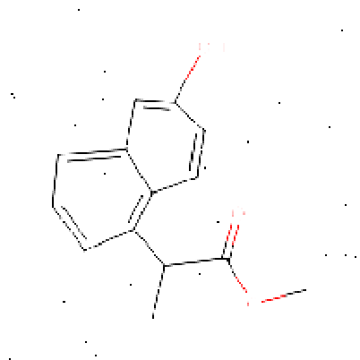 COC(=O)C(C)c1cccc2cc(O)ccc12